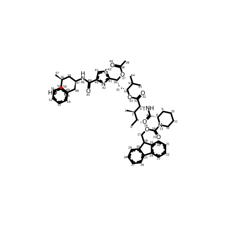 CC[C@@H](C)[C@@H](NC(=O)[C@@H]1CCCCN1C(=O)OCC1c2ccccc2-c2ccccc21)C(=O)O[C@H](C[C@@H](OC(C)=O)c1nc(C(=O)N[C@@H](Cc2ccccc2)C[C@H](C)C(=O)O)cs1)C(C)C